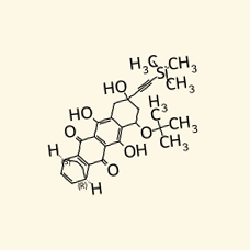 CC(C)(C)OC1CC(O)(C#C[Si](C)(C)C)Cc2c(O)c3c(c(O)c21)C(=O)C1=C(C3=O)[C@@H]2C=C[C@H]1CC2